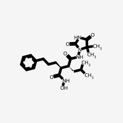 CC(C)C[C@@H](C(=O)NN1C(=O)NC(=O)C1(C)C)[C@H](CCCc1ccccc1)C(=O)NO